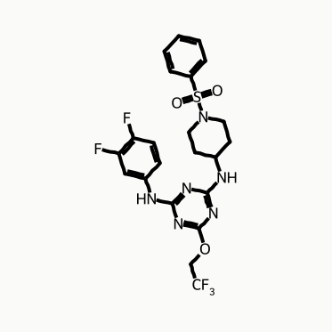 O=S(=O)(c1ccccc1)N1CCC(Nc2nc(Nc3ccc(F)c(F)c3)nc(OCC(F)(F)F)n2)CC1